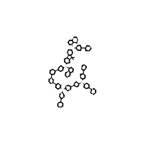 CC1CC=Cc2cccc(N(c3ccc(-c4ccccc4)cc3)c3ccc4c(c3)C(C)(C)c3cc(N(c5ccc(-c6cccc(-c7cccc(-c8ccc(N(c9ccc(-c%10ccccc%10)cc9)c9ccc(-c%10ccc(N(c%11ccc(-c%12ccccc%12)cc%11)c%11ccc(-c%12ccccc%12)cc%11)cc%10)cc9)cc8)c7)c6)cc5)c5cccc6ccccc56)ccc3-4)c21